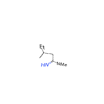 CCC(C)CC(=N)NC